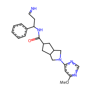 COc1cc(N2CC3CC(C(=O)NC(CC=N)c4ccccc4)CC3C2)ncn1